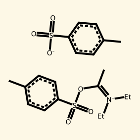 CC[N+](CC)=C(C)OS(=O)(=O)c1ccc(C)cc1.Cc1ccc(S(=O)(=O)[O-])cc1